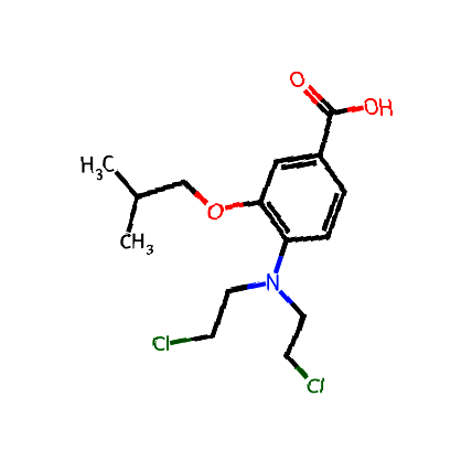 CC(C)COc1cc(C(=O)O)ccc1N(CCCl)CCCl